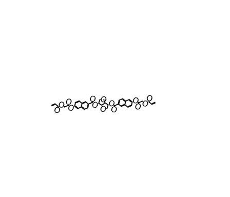 C=CC(=O)OCC(=O)Oc1ccc2cc(C(=O)OC3COC4C3OC[C@H]4OC(=O)c3ccc4cc(OC(=O)COC(=O)C=C)ccc4c3)ccc2c1